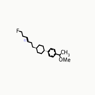 COC(C)c1ccc([C@H]2CC[C@H](CC/C=C/CCF)CC2)cc1